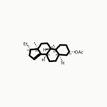 CC[C@H]1CC=C2[C@@H]3CC[C@@H]4C[C@@H](OC(C)=O)CC[C@]4(C)[C@H]3CC[C@@]21C